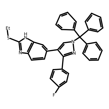 CCSc1nc2ccc(-c3cn(C(c4ccccc4)(c4ccccc4)c4ccccc4)nc3-c3ccc(F)cc3)cc2[nH]1